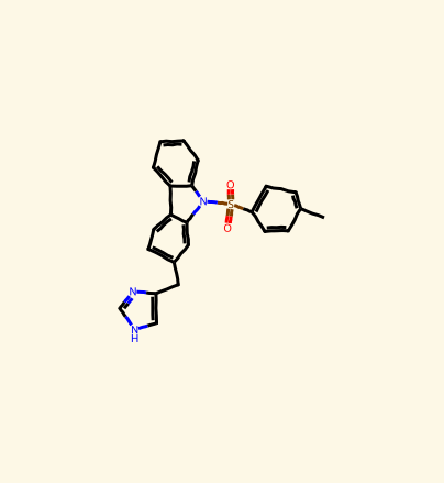 Cc1ccc(S(=O)(=O)n2c3ccccc3c3ccc(Cc4c[nH]cn4)cc32)cc1